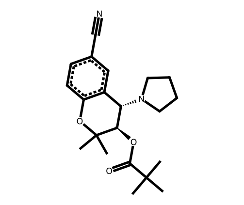 CC(C)(C)C(=O)O[C@@H]1[C@@H](N2CCCC2)c2cc(C#N)ccc2OC1(C)C